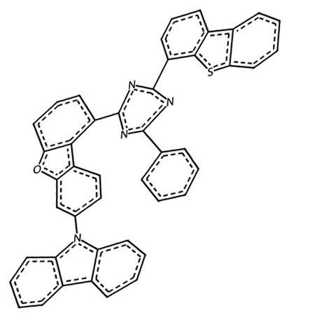 c1ccc(-c2nc(-c3cccc4c3sc3ccccc34)nc(-c3cccc4oc5cc(-n6c7ccccc7c7ccccc76)ccc5c34)n2)cc1